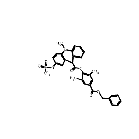 Cc1cc(C(=O)OCc2ccccc2)cc(C)c1OC(=O)C1c2ccccc2N(C)c2ccc(OS(=O)(=O)C(F)(F)F)cc21